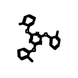 Cc1ccccc1Oc1nc(Oc2ccccc2C)nc(Oc2ccccc2C)n1